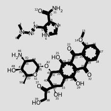 CN(C)N=Nc1[nH]cnc1C(N)=O.COc1cccc2c1C(=O)c1c(O)c3c(c(O)c1C2=O)C[C@@](O)(C(=O)CO)C[C@@H]3O[C@H]1C[C@H](N)[C@H](O)[C@H](C)O1